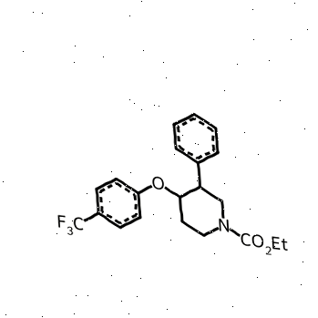 CCOC(=O)N1CCC(Oc2ccc(C(F)(F)F)cc2)C(c2ccccc2)C1